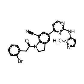 Cn1nccc1Nc1nccc(-c2cc(C#N)c3c(c2)CCN3C(=O)Cc2ccccc2Br)n1